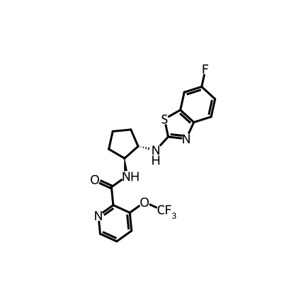 O=C(N[C@H]1CCC[C@@H]1Nc1nc2ccc(F)cc2s1)c1ncccc1OC(F)(F)F